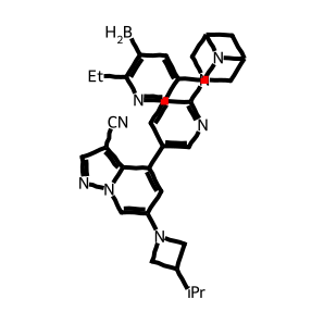 Bc1cc(CN2C3CC2CN(c2ccc(-c4cc(N5CC(C(C)C)C5)cn5ncc(C#N)c45)cn2)C3)cnc1CC